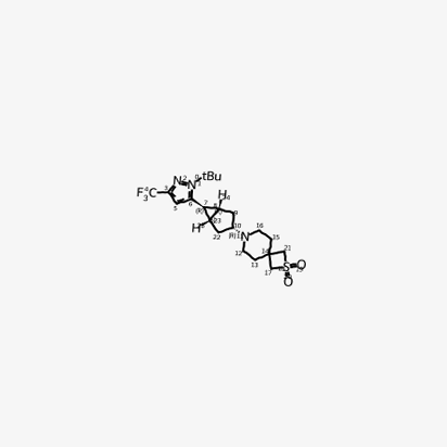 CC(C)(C)n1nc(C(F)(F)F)cc1[C@H]1[C@@H]2C[C@H](N3CCC4(CC3)CS(=O)(=O)C4)C[C@@H]21